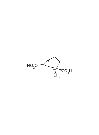 C[C@@]1(C(=O)O)CCC2C(C(=O)O)C21